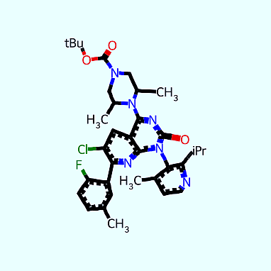 Cc1ccc(F)c(-c2nc3c(cc2Cl)c(N2C(C)CN(C(=O)OC(C)(C)C)CC2C)nc(=O)n3-c2c(C)ccnc2C(C)C)c1